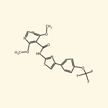 COc1ncnc(OC)c1C(=O)Nc1nc(-c2ccc(OC(F)(F)F)cc2)cs1